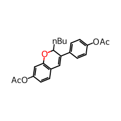 CCCCC1Oc2cc(OC(C)=O)ccc2C=C1c1ccc(OC(C)=O)cc1